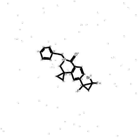 O=C1c2ccc(C3(F)CC3(F)Br)cc2C2(CC2)CP1Cc1ccccc1